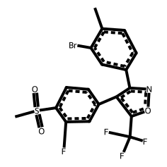 Cc1ccc(-c2noc(C(F)(F)F)c2-c2ccc(S(C)(=O)=O)c(F)c2)cc1Br